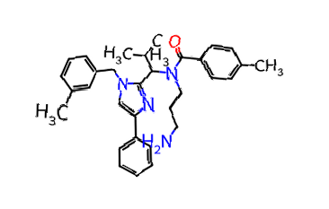 Cc1ccc(C(=O)N(CCCN)C(c2nc(-c3ccccc3)cn2Cc2cccc(C)c2)C(C)C)cc1